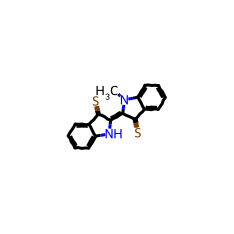 CN1/C(=C2/Nc3ccccc3C2=S)C(=S)c2ccccc21